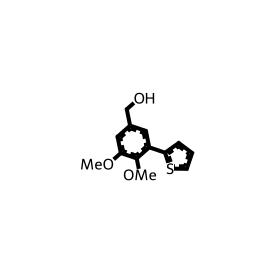 COc1cc(CO)cc(-c2cccs2)c1OC